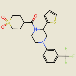 O=C(C1CCS(=O)(=O)CC1)N1CCN(c2cccc(C(F)(F)F)c2)CC1c1cccs1